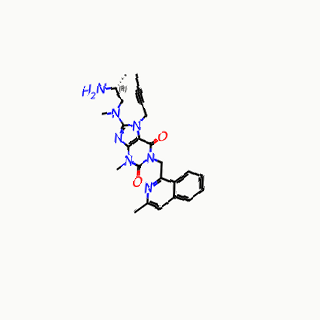 CC#CCn1c(N(C)C[C@@H](C)N)nc2c1c(=O)n(Cc1nc(C)cc3ccccc13)c(=O)n2C